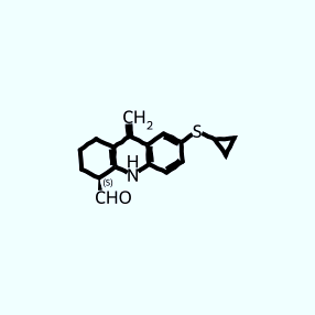 C=C1C2=C(Nc3ccc(SC4CC4)cc31)[C@@H](C=O)CCC2